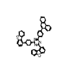 c1ccc2c(c1)cc(-c1ccc(-c3nc(-c4ccc(-c5cccc6sc7ccccc7c56)cc4)nc(-c4cccc5oc6ccccc6c45)n3)cc1)c1ccccc12